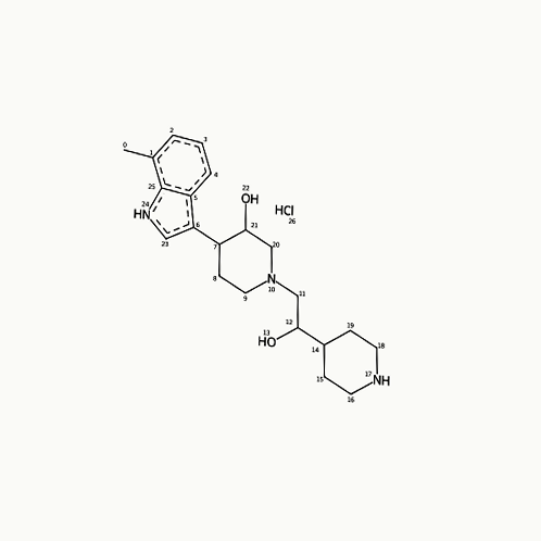 Cc1cccc2c(C3CCN(CC(O)C4CCNCC4)CC3O)c[nH]c12.Cl